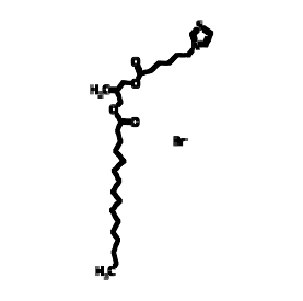 C=C(COC(=O)CCCCCCCCCCCCCCC)COC(=O)CCCCC[n+]1ccsc1.[Br-]